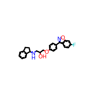 OC(CNC1CCc2ccccc21)COc1ccc(-c2noc3cc(F)ccc23)cc1